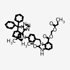 CCOC1Nc2cccc(C(=O)OCOC(=O)CC)c2N1Cc1ccc(-n2cc(C)cc2-c2nnnn2C(c2ccccc2)(c2ccccc2)c2ccccc2)cc1